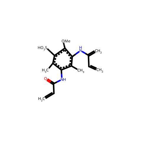 C=CC(=C)Nc1c(C)c(NC(=O)C=C)c(C)c(S(=O)(=O)O)c1OC